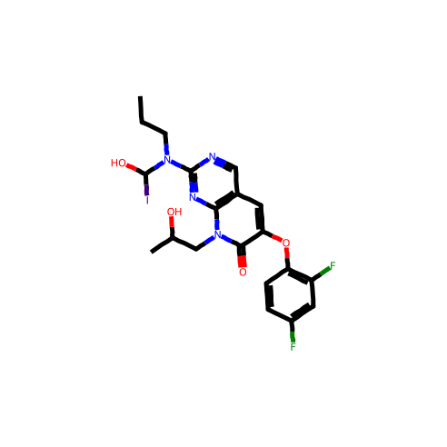 CCCN(c1ncc2cc(Oc3ccc(F)cc3F)c(=O)n(CC(C)O)c2n1)C(O)I